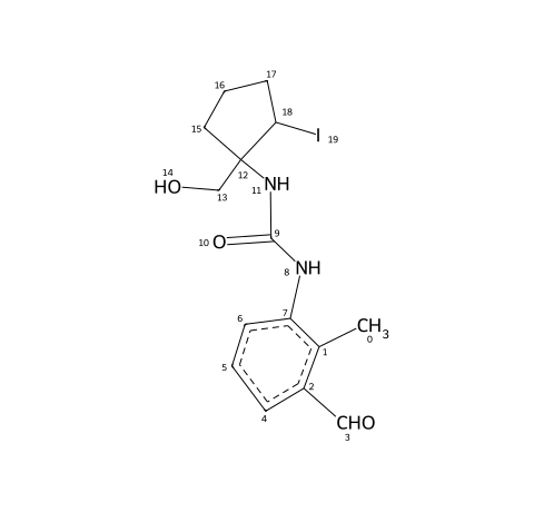 Cc1c(C=O)cccc1NC(=O)NC1(CO)CCCC1I